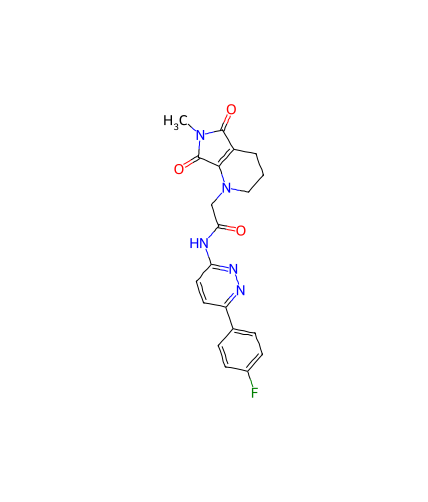 CN1C(=O)C2=C(C1=O)N(CC(=O)Nc1ccc(-c3ccc(F)cc3)nn1)CCC2